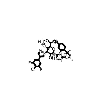 CO[C@H]1C(C(C)O)O[C@@H](c2nnc(C)n2-c2cc(Cl)ccc2C(F)(F)F)C(O)C1n1cc(-c2cc(F)c(Cl)c(F)c2)cn1